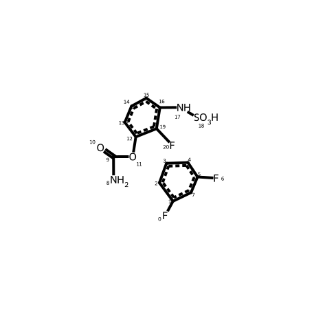 Fc1cccc(F)c1.NC(=O)Oc1cccc(NS(=O)(=O)O)c1F